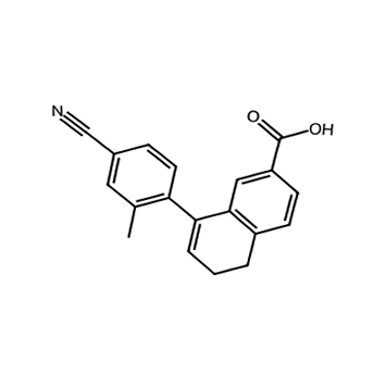 Cc1cc(C#N)ccc1C1=CCCc2ccc(C(=O)O)cc21